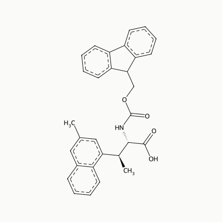 Cc1cc([C@H](C)[C@H](NC(=O)OCC2c3ccccc3-c3ccccc32)C(=O)O)c2ccccc2c1